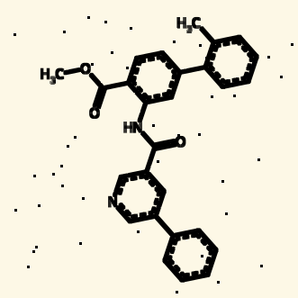 COC(=O)c1ccc(-c2ccccc2C)cc1NC(=O)c1cncc(-c2ccccc2)c1